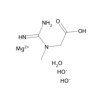 CN(CC(=O)O)C(=N)N.O.[Mg+2].[OH-].[OH-]